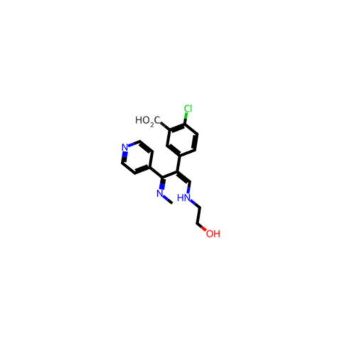 C/N=C(\C(=C/NCCO)c1ccc(Cl)c(C(=O)O)c1)c1ccncc1